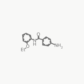 CCOc1ccccc1NC(=O)c1ccc(N)cc1